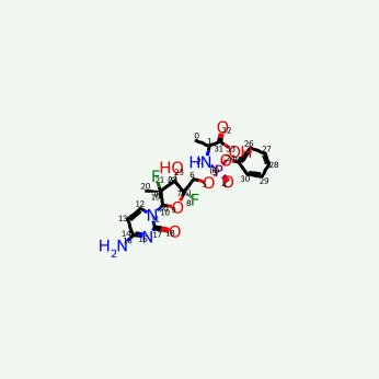 CC(N[P@@](=O)(OC[C@@]1(F)O[C@@H](n2ccc(N)nc2=O)[C@](C)(F)[C@@H]1O)Oc1ccccc1)C(=O)O